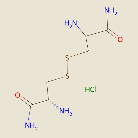 Cl.NC(=O)C(N)CSSC[C@H](N)C(N)=O